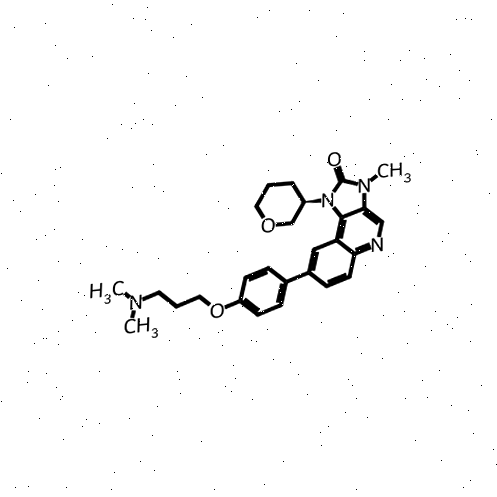 CN(C)CCCOc1ccc(-c2ccc3ncc4c(c3c2)n([C@@H]2CCCOC2)c(=O)n4C)cc1